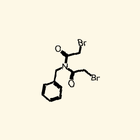 O=C(CBr)N(Cc1ccccc1)C(=O)CBr